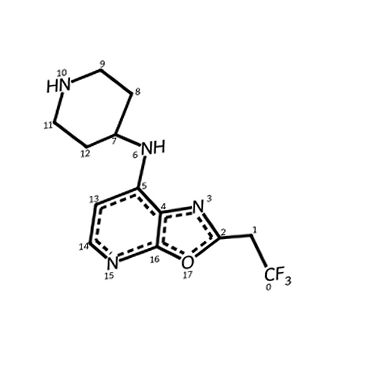 FC(F)(F)Cc1nc2c(NC3CCNCC3)ccnc2o1